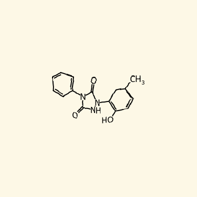 CC1C=CC(O)=C(n2[nH]c(=O)n(-c3ccccc3)c2=O)C1